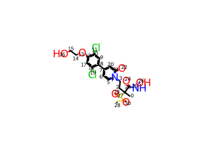 CC(CCn1ccc(-c2cc(Cl)c(OCCO)cc2Cl)cc1=O)(C(=O)NO)S(C)(=O)=O